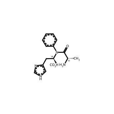 C[C@H](N)C(=O)N(c1ccccc1)[C@H](Cc1c[nH]cn1)C(=O)O